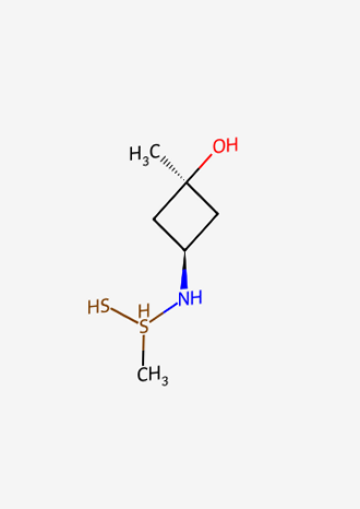 C[SH](S)N[C@H]1C[C@@](C)(O)C1